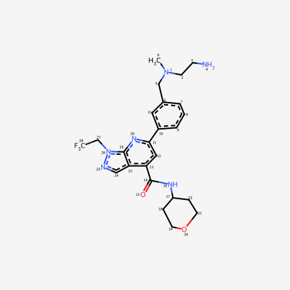 CN(CCN)Cc1cccc(-c2cc(C(=O)NC3CCOCC3)c3cnn(CC(F)(F)F)c3n2)c1